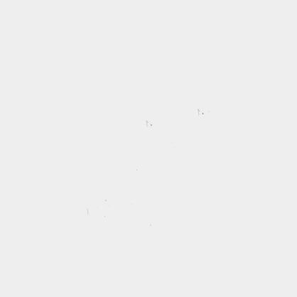 Cc1ccc(C(=O)O)cc1-c1cncc(Cl)n1